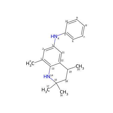 Cc1cc(Nc2ccccc2)cc2c1NC(C)(C)CC2C